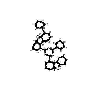 C1=Cc2oc3cccc(-c4nc(-c5ccccc5)nc(-c5cccc6oc7c(-c8ccccc8)cccc7c56)n4)c3c2CC1